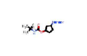 CC(C)(C)NC(=O)OC1CCC(N=[N+]=[N-])C1